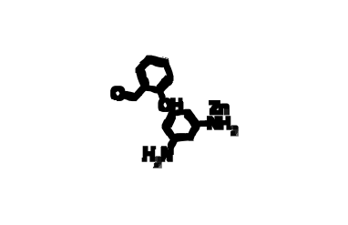 Nc1cccc(N)c1.O=Cc1ccccc1O.[Zn]